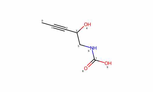 CC#CC(O)CNC(=O)O